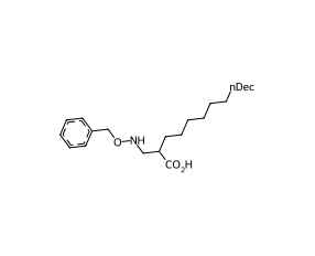 CCCCCCCCCCCCCCCCC(CNOCc1ccccc1)C(=O)O